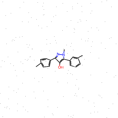 Cc1ccc(-c2nn(C)c(-c3cccc(C)c3)c2O)cc1